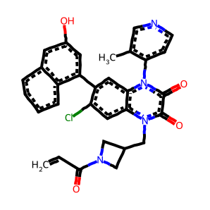 C=CC(=O)N1CC(Cn2c(=O)c(=O)n(-c3ccncc3C)c3cc(-c4cc(O)cc5ccccc45)c(Cl)cc32)C1